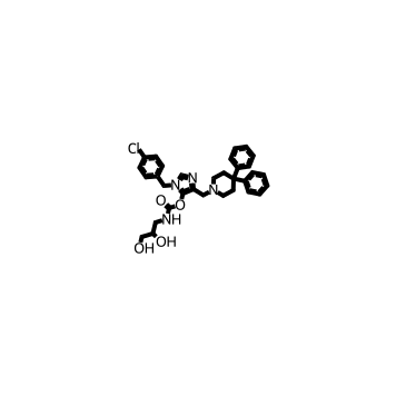 O=C(NCC(O)CO)Oc1c(CN2CCC(c3ccccc3)(c3ccccc3)CC2)ncn1Cc1ccc(Cl)cc1